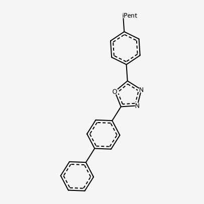 CCCC(C)c1ccc(-c2nnc(-c3ccc(-c4ccccc4)cc3)o2)cc1